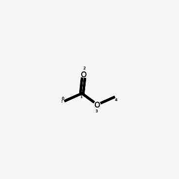 [CH]C(=O)OC